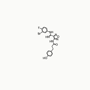 N=C(Nc1ccc(F)c(Br)c1)c1nonc1NC(=O)CCc1ccc(O)cc1